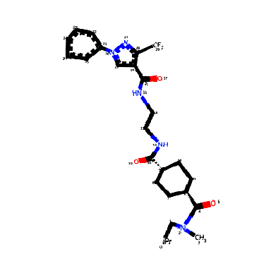 CC(C)CN(C)C(=O)[C@H]1CC[C@H](C(=O)NCCNC(=O)c2cn(-c3ccccc3)nc2C(F)(F)F)CC1